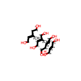 C/C(=C\CO)CCO.C/C(=C\CO)CO.OC/C=C/CCO.OC/C=C/CO